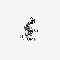 COCCN(C)CCNC(=O)c1nc(NC(=O)N[C@H]2CC[C@@H](Oc3ccc4nnc(C5CCCC5)n4c3)c3ccccc32)cc(C(C)(C)C)n1